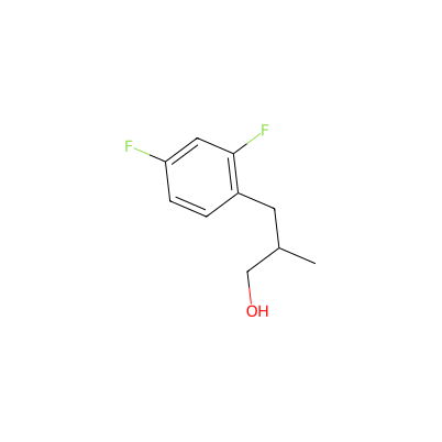 CC(CO)Cc1ccc(F)cc1F